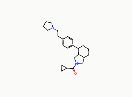 O=C(C1CC1)N1CC2CCCC(c3ccc(CCN4CCCC4)cc3)C2C1